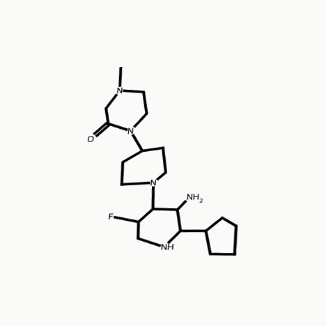 CN1CCN(C2CCN(C3C(F)CNC(C4CCCC4)C3N)CC2)C(=O)C1